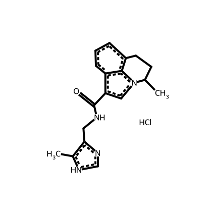 Cc1[nH]cnc1CNC(=O)c1cn2c3c(cccc13)CCC2C.Cl